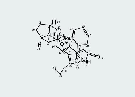 O=c1cc(-c2ccc(N3[C@@H]4CC[C@H]3C[C@@H](OCc3c(-c5ccccc5OC(F)(F)F)noc3C3CC3)C4)cc2)o[nH]1